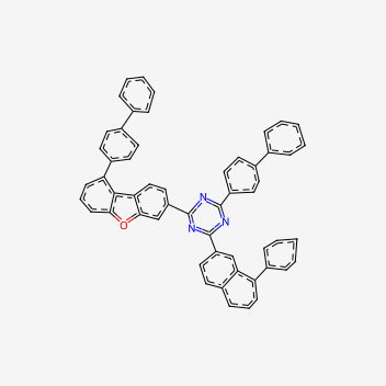 c1ccc(-c2ccc(-c3nc(-c4ccc5c(c4)oc4cccc(-c6ccc(-c7ccccc7)cc6)c45)nc(-c4ccc5cccc(-c6ccccc6)c5c4)n3)cc2)cc1